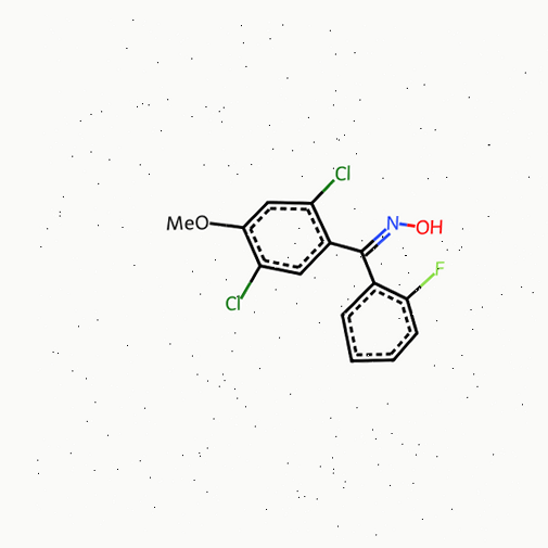 COc1cc(Cl)c(C(=NO)c2ccccc2F)cc1Cl